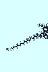 CCCCCCCCCCCCCCCCCCCCCCCCCCCCC(c1cc(C(C)(C)C)c(O)c(C(C)(C)C)c1)P(=O)(O)O